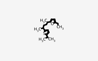 CCc1ccc(C(C)CCC(C)c2ccc(C(C)C)s2)o1